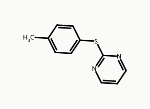 Cc1ccc(Sc2ncccn2)cc1